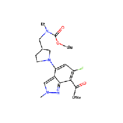 CCN(CC1CCN(c2cc(F)c(C(=O)OC)c3nn(C)cc23)C1)C(=O)OC(C)(C)C